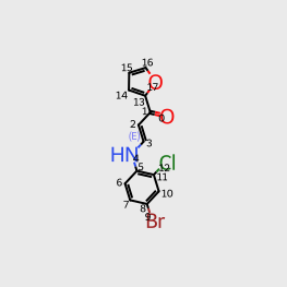 O=C(/C=C/Nc1ccc(Br)cc1Cl)c1ccco1